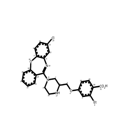 CCc1cc(OCC2CN(C3=Nc4cc(Cl)ccc4Oc4ccccc43)CCN2)ccc1C(=O)O